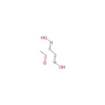 CC=O.ON=CC=NO